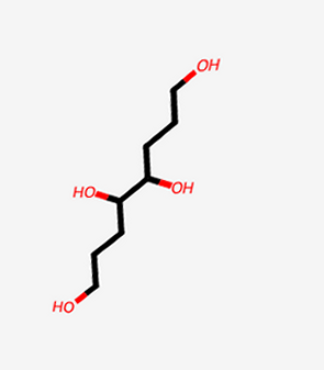 OCCCC(O)C(O)CCCO